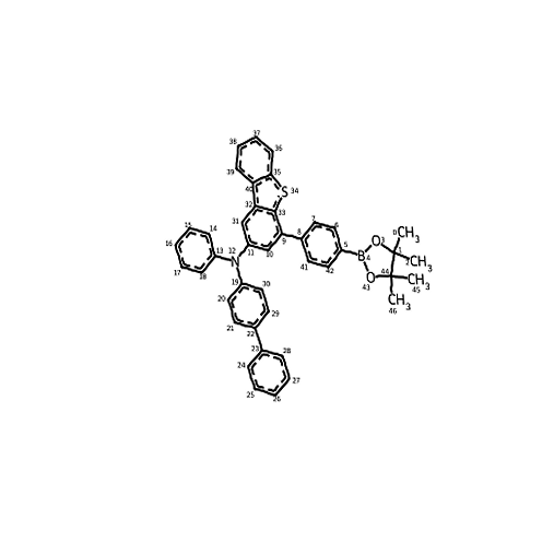 CC1(C)OB(c2ccc(-c3cc(N(c4ccccc4)c4ccc(-c5ccccc5)cc4)cc4c3sc3ccccc34)cc2)OC1(C)C